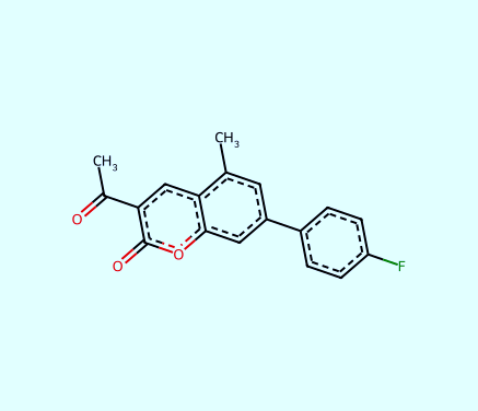 CC(=O)c1cc2c(C)cc(-c3ccc(F)cc3)cc2oc1=O